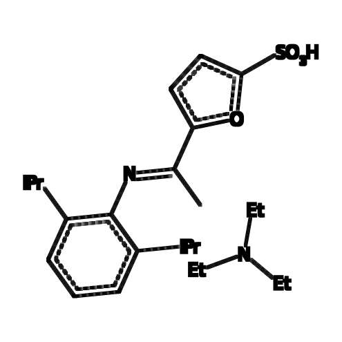 CC(=Nc1c(C(C)C)cccc1C(C)C)c1ccc(S(=O)(=O)O)o1.CCN(CC)CC